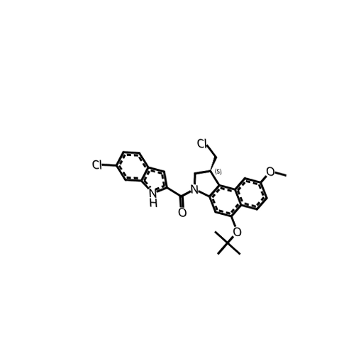 COc1ccc2c(OC(C)(C)C)cc3c(c2c1)[C@H](CCl)CN3C(=O)c1cc2ccc(Cl)cc2[nH]1